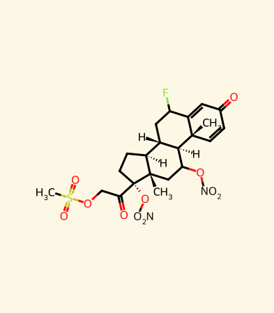 C[C@]12C=CC(=O)C=C1C(F)C[C@@H]1[C@@H]2C(O[N+](=O)[O-])C[C@@]2(C)[C@H]1CC[C@]2(O[N+](=O)[O-])C(=O)COS(C)(=O)=O